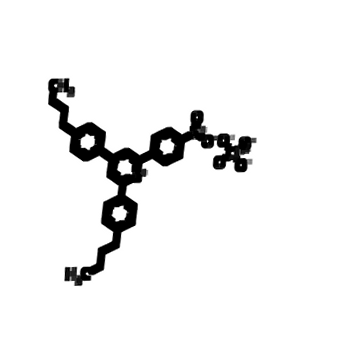 CCCCc1ccc(-c2cc(-c3ccc(CCCC)cc3)[s+]c(-c3ccc([N+](=O)[O-])cc3)c2)cc1.[O-][Cl+3]([O-])([O-])[O-]